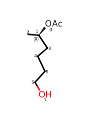 CC(=O)O[C@H](C)CCCCO